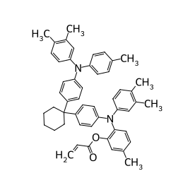 C=CC(=O)Oc1cc(C)ccc1N(c1ccc(C2(c3ccc(N(c4ccc(C)cc4)c4ccc(C)c(C)c4)cc3)CCCCC2)cc1)c1ccc(C)c(C)c1